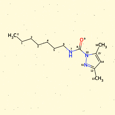 CCCCCCCNC(=O)n1nc(C)cc1C